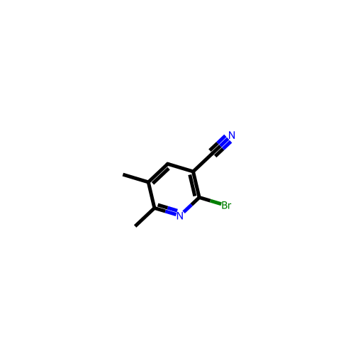 Cc1cc(C#N)c(Br)nc1C